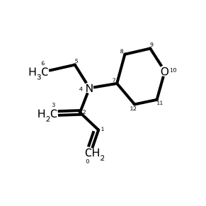 C=CC(=C)N(CC)C1CCOCC1